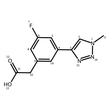 Cn1cc(-c2cc(F)cc(CC(=O)O)c2)nn1